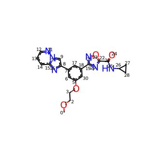 COCCOc1cc(-c2cn3ncccc3n2)cc(-c2noc(C(=O)NC3CC3)n2)c1